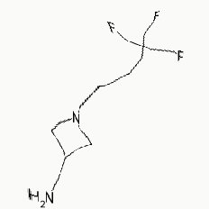 NC1CN(CCC(F)(F)F)C1